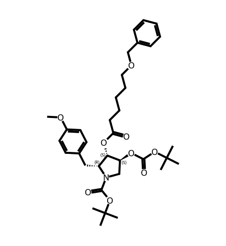 COc1ccc(C[C@@H]2[C@H](OC(=O)CCCCCOCc3ccccc3)[C@@H](OC(=O)OC(C)(C)C)CN2C(=O)OC(C)(C)C)cc1